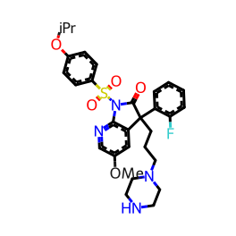 COc1cnc2c(c1)C(CCCN1CCNCC1)(c1ccccc1F)C(=O)N2S(=O)(=O)c1ccc(OC(C)C)cc1